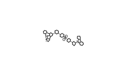 O=S(=O)(c1ccc(-c2cccc(-c3cc4c5ccccc5n5c6sccc6c(c3)c45)c2)cc1)c1ccc(-c2cccc(-n3c4ccccc4c4ccccc43)c2)cc1